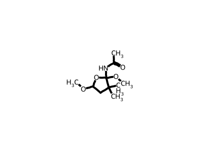 COC1CC(C)(C)C(NC(C)=O)(OC)O1